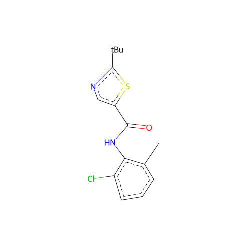 Cc1cccc(Cl)c1NC(=O)c1cnc(C(C)(C)C)s1